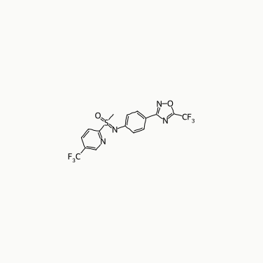 CS(=O)(=Nc1ccc(-c2noc(C(F)(F)F)n2)cc1)c1ccc(C(F)(F)F)cn1